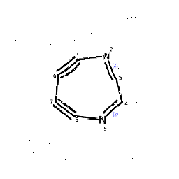 C1#C/N=C\C=N/C#C1